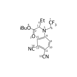 CCC(C(=O)OCC(C)C)N(CC(F)(F)F)c1ccc(C#N)c(C#N)c1